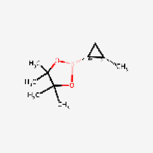 C[C@H]1C[C@H]1B1OC(C)(C)C(C)(C)O1